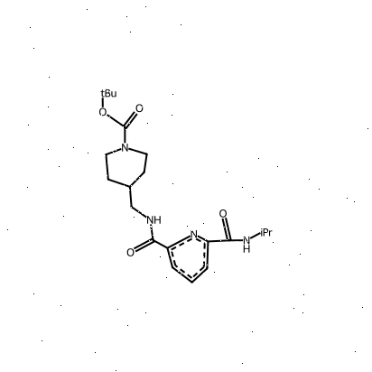 CC(C)NC(=O)c1cccc(C(=O)NCC2CCN(C(=O)OC(C)(C)C)CC2)n1